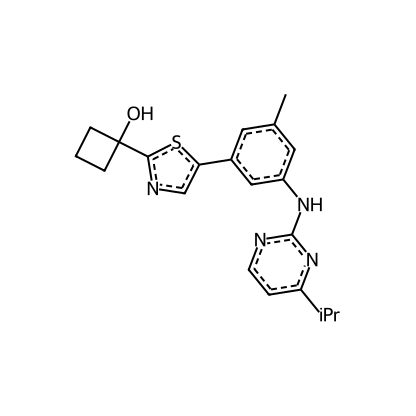 Cc1cc(Nc2nccc(C(C)C)n2)cc(-c2cnc(C3(O)CCC3)s2)c1